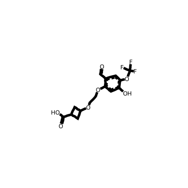 O=Cc1cc(OC(F)(F)F)c(O)cc1OCCOC1CC(C(=O)O)C1